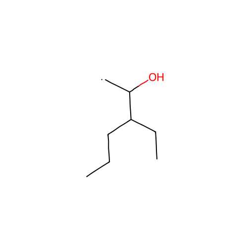 [CH2]C(O)C(CC)CCC